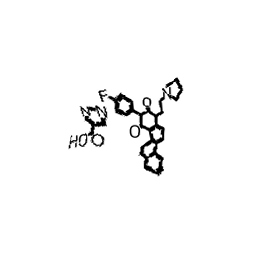 O=C(O)c1cncnc1.O=C1c2c(ccc3c2ccc2ccccc23)C(CCN2CCCC2)C(=O)C1c1ccc(F)cc1